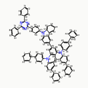 c1ccc(-c2ccc(N3c4ccc(-c5ccccc5)cc4B4c5cc(-c6ccccc6)ccc5N(c5ccc(-c6ccccc6)cc5)c5cc(-c6ccc7c(c6)c6ccccc6n7-c6ccc(-c7nc(-c8ccccc8)nc(-c8ccccc8)n7)cc6)cc3c54)cc2)cc1